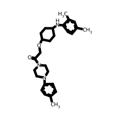 Cc1ccc(N2CCN(C(=O)COC3CCC(Nc4ccc(C)cc4C)CC3)CC2)cc1